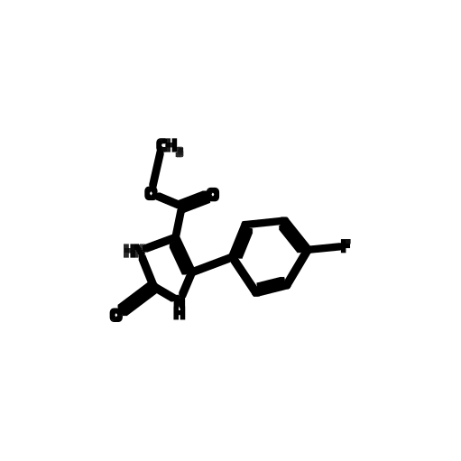 COC(=O)c1[nH]c(=O)[nH]c1-c1ccc(F)cc1